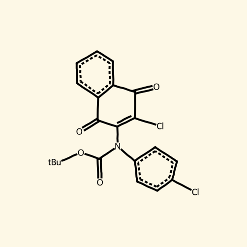 CC(C)(C)OC(=O)N(C1=C(Cl)C(=O)c2ccccc2C1=O)c1ccc(Cl)cc1